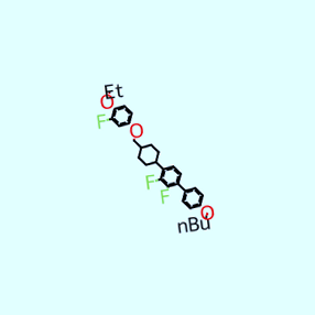 CCCCOc1ccc(-c2ccc(C3CCC(COc4ccc(OCC)c(F)c4)CC3)c(F)c2F)cc1